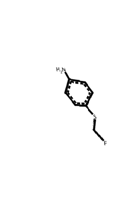 Nc1ccc(SCF)cc1